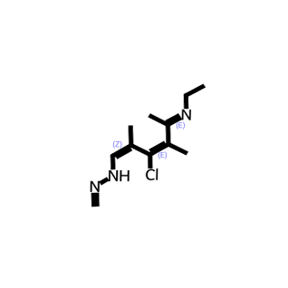 C=NN\C=C(C)/C(Cl)=C(C)\C(C)=N\CC